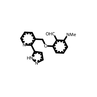 CNc1cccc(OCc2cccnc2-c2ccn[nH]2)c1C=O